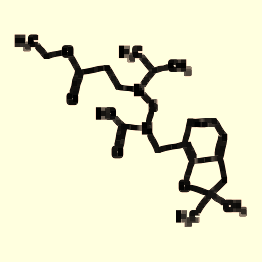 CCOC(=O)CCN(SN(Cc1cccc2c1OC(C)(C)C2)C(=O)O)C(C)C